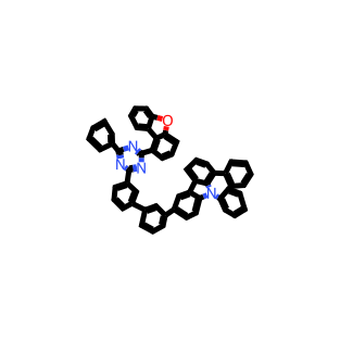 c1ccc(-c2nc(-c3cccc(-c4cccc(-c5ccc6c(c5)c5cccc(-c7ccccc7)c5n6-c5ccccc5)c4)c3)nc(-c3cccc4oc5ccccc5c34)n2)cc1